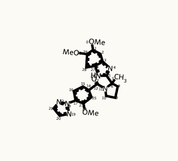 COc1cc2nc(C3(C)CCCN3C(=O)c3ccc(-n4nccn4)c(OC)c3)[nH]c2cc1OC